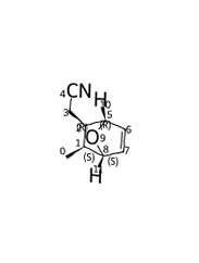 C[C@H]1[C@@H](CC#N)[C@@H]2C=C[C@H]1O2